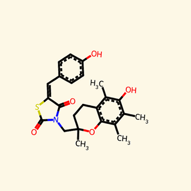 Cc1c(C)c2c(c(C)c1O)CCC(C)(CN1C(=O)SC(=Cc3ccc(O)cc3)C1=O)O2